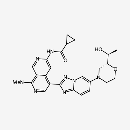 CNc1ncc(-c2nc3ccc(N4CCO[C@@H]([C@H](C)O)C4)cn3n2)c2cc(NC(=O)C3CC3)ncc12